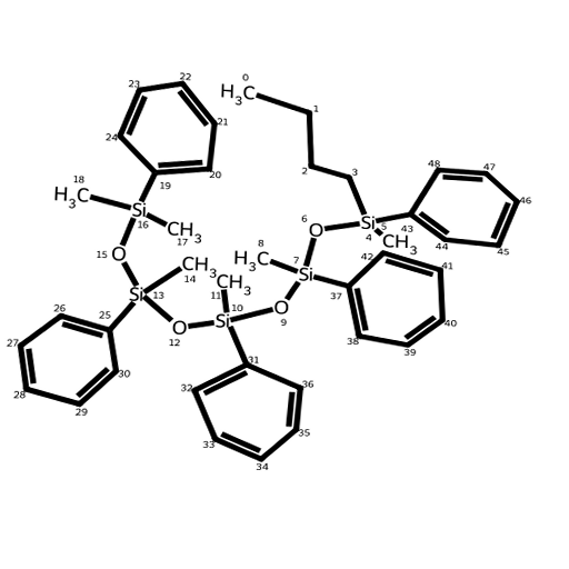 CCCC[Si](C)(O[Si](C)(O[Si](C)(O[Si](C)(O[Si](C)(C)c1ccccc1)c1ccccc1)c1ccccc1)c1ccccc1)c1ccccc1